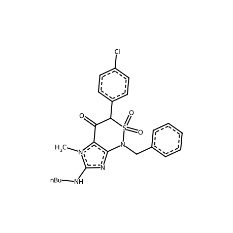 CCCCNc1nc2c(n1C)C(=O)C(c1ccc(Cl)cc1)S(=O)(=O)N2Cc1ccccc1